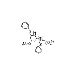 CSCC[C@@H](CSc1ccccc1)NC(=O)N[C@H](CSc1ccccc1)CC(=O)O